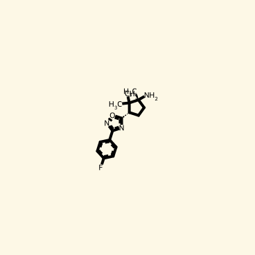 CC1(C)[C@@H](c2nc(-c3ccc(F)cc3)no2)CC[C@@]1(C)N